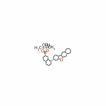 CC1(C)OB(c2ccc3cccc(-c4ccc5c(c4)oc4cc6ccccc6cc45)c3c2)OC1(C)C